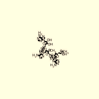 CO[C@H]1[C@@H](OP(O)(=S)OC[C@H]2O[C@@H](n3cnc4c(N)ncnc43)[C@H](O)[C@@H]2O)[C@H](n2cnc3c(N)ncnc32)O[C@@H]1COP(O)(=S)O[C@@H]1C[C@@H](CCP(C)(=O)O)O[C@H]1n1cnc2c(N)ncnc21